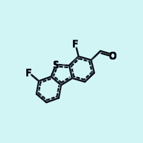 O=Cc1ccc2c(sc3c(F)cccc32)c1F